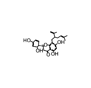 C=C(C)C(CC=C(C)C)Cc1c(O)cc(O)c2c1O[C@H](C1C=CC(O)=CC1O)CC2=O